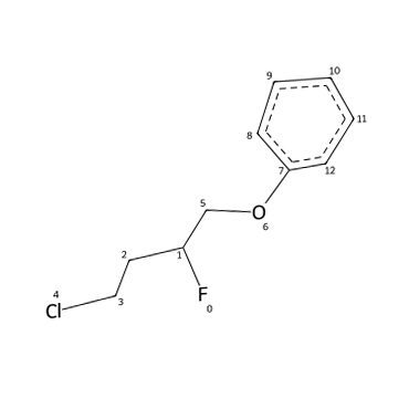 FC(CCCl)COc1ccccc1